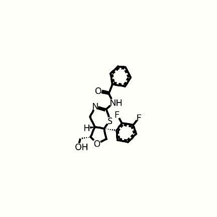 O=C(NC1=NC[C@H]2[C@@H](CO)OC[C@]2(c2cccc(F)c2F)S1)c1ccccc1